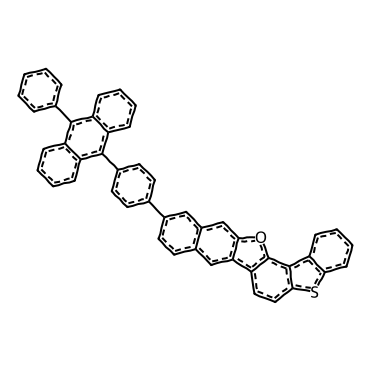 c1ccc(-c2c3ccccc3c(-c3ccc(-c4ccc5cc6c(cc5c4)oc4c6ccc5sc6ccccc6c54)cc3)c3ccccc23)cc1